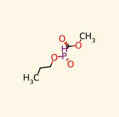 CCCO[PH](=O)C(=O)OC